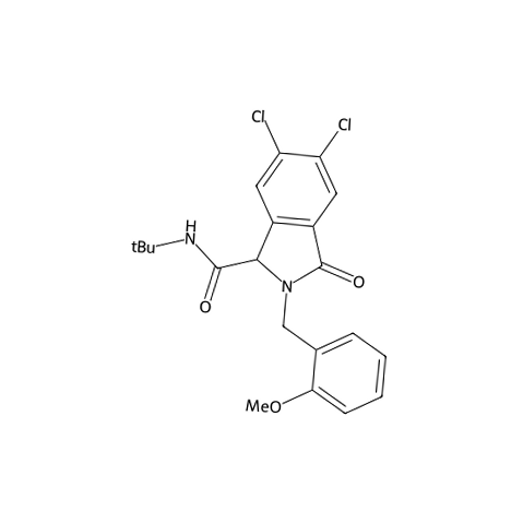 COc1ccccc1CN1C(=O)c2cc(Cl)c(Cl)cc2C1C(=O)NC(C)(C)C